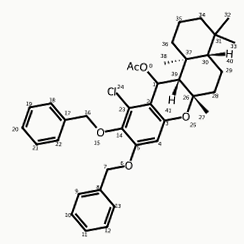 CC(=O)OC1c2c(cc(OCc3ccccc3)c(OCc3ccccc3)c2Cl)O[C@@]2(C)CC[C@H]3C(C)(C)CCC[C@]3(C)[C@@H]12